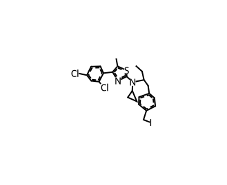 CCC(Cc1ccc(CI)cc1)N(c1nc(-c2ccc(Cl)cc2Cl)c(C)s1)C1CC1